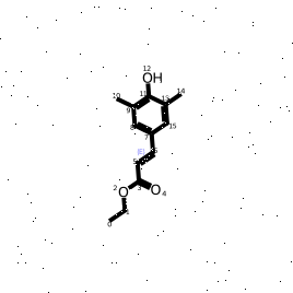 CCOC(=O)/C=C/c1cc(C)c(O)c(C)c1